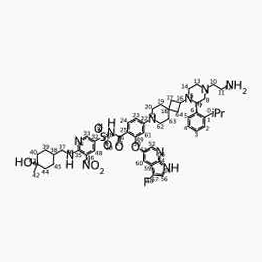 CC(C)c1ccccc1[C@@H]1CN(CCN)CCN1C1CC2(CCN(c3ccc(C(=O)NS(=O)(=O)c4cnc(NCC5CCC(C)(O)CC5)c([N+](=O)[O-])c4)c(Oc4cnc5[nH]cc(F)c5c4)c3)CC2)C1